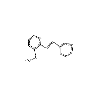 O=S(=O)(O)Oc1ccccc1C=Cc1ccccc1